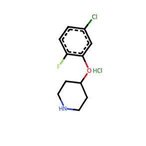 Cl.Fc1ccc(Cl)cc1OC1CCNCC1